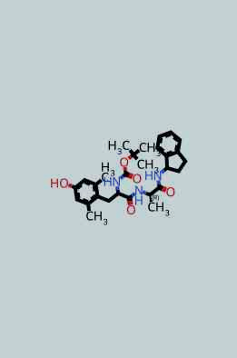 Cc1cc(O)cc(C)c1CC(NC(=O)OC(C)(C)C)C(=O)N[C@H](C)C(=O)NC1CCc2ccccc21